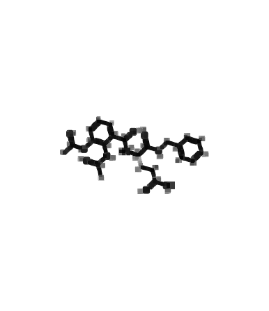 CC(=O)Oc1cccc(C(=O)N[C@@H](CCC(=O)O)C(=O)OCc2ccccc2)c1OC(C)=O